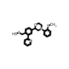 CSc1ccccc1N1CCOC(c2ccc(CSS)c(-c3ccccn3)c2)C1